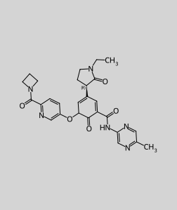 CCN1CC[C@H](C2=CC(Oc3ccc(C(=O)N4CCC4)nc3)C(=O)C(C(=O)Nc3cnc(C)cn3)=C2)C1=O